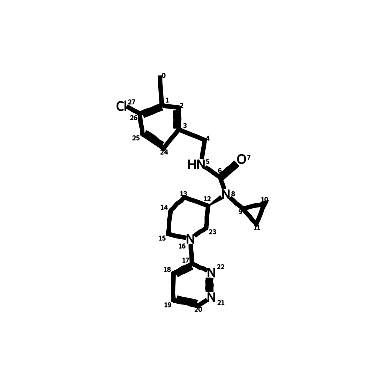 Cc1cc(CNC(=O)N(C2CC2)[C@@H]2CCCN(c3cccnn3)C2)ccc1Cl